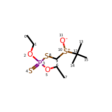 CCOP(=S)(OCC)SC[S+]([O-])C(C)(C)C